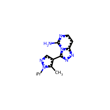 Cc1c(-c2nnc3ccnc(N)n23)cnn1C(C)C